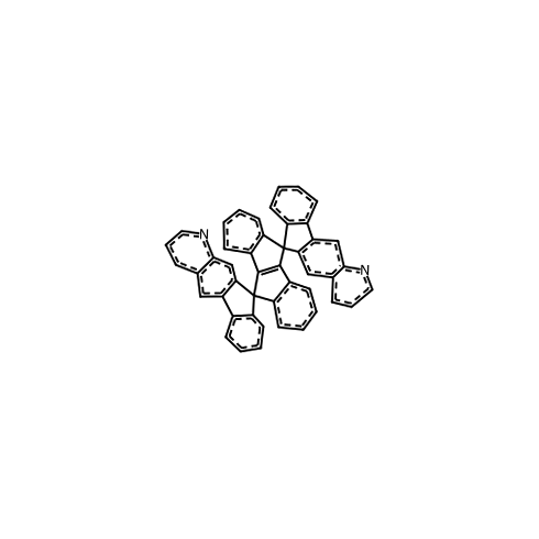 c1ccc2c(c1)C1=C(c3ccccc3C13c1ccccc1-c1cc4cccnc4cc13)C21c2ccccc2-c2cc3ncccc3cc21